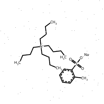 CCCC[N+](CCCC)(CCCC)CCCC.Cc1ccccc1S(=O)(=O)[O-].[Na]